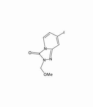 COCn1nc2cc(I)ccn2c1=O